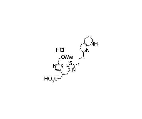 COCc1ncc(C(CC(=O)O)Cc2csc(CCCc3ccc4c(n3)NCCC4)n2)s1.Cl